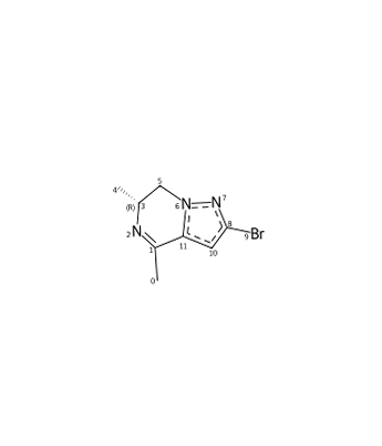 CC1=N[C@H](C)Cn2nc(Br)cc21